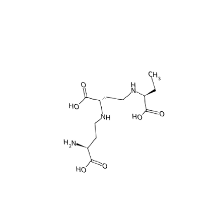 CC[C@H](NCC[C@H](NCC[C@H](N)C(=O)O)C(=O)O)C(=O)O